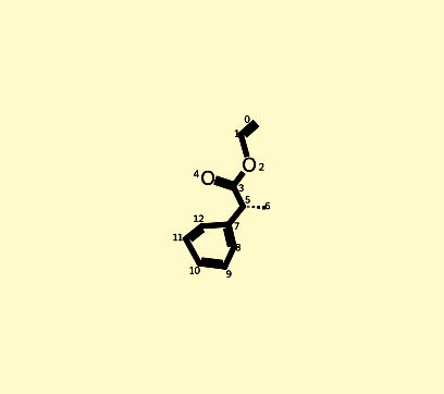 C=COC(=O)[C@H](C)c1ccccc1